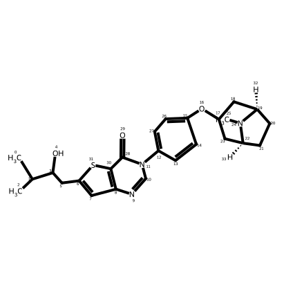 CC(C)C(O)Cc1cc2ncn(-c3ccc(OC4C[C@H]5CC[C@@H](C4)N5C)cc3)c(=O)c2s1